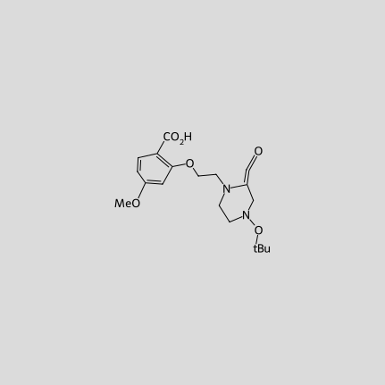 COc1ccc(C(=O)O)c(OCCN2CCN(OC(C)(C)C)CC2=C=O)c1